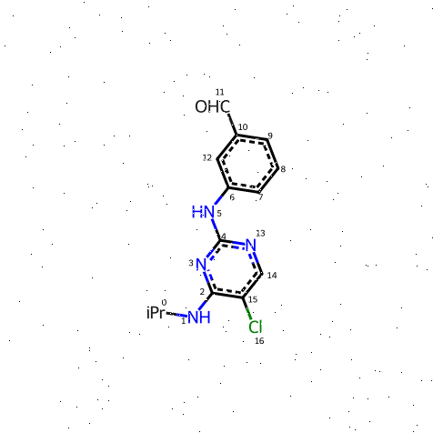 CC(C)Nc1nc(Nc2cccc(C=O)c2)ncc1Cl